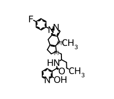 CCCC(C[C@H]1CCC2=C1[C@@H](C)c1cnn(-c3ccc(F)cc3)c1C2)NC(=O)c1cccnc1O